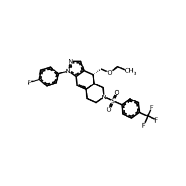 CCOC[C@H]1c2cnn(-c3ccc(F)cc3)c2C=C2CCN(S(=O)(=O)c3ccc(C(F)(F)F)cc3)CC21